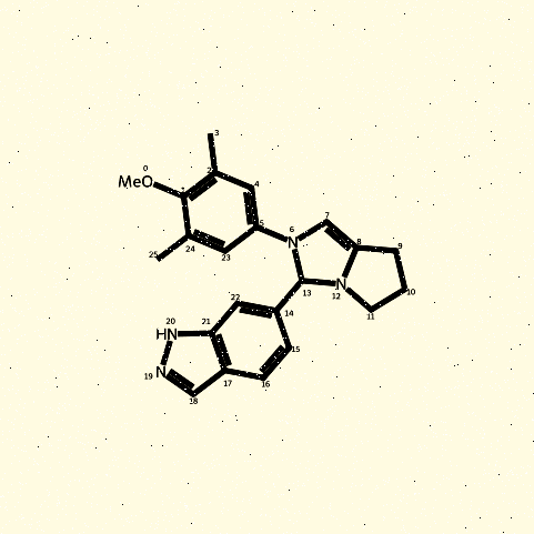 COc1c(C)cc(N2C=C3CCCN3C2c2ccc3cn[nH]c3c2)cc1C